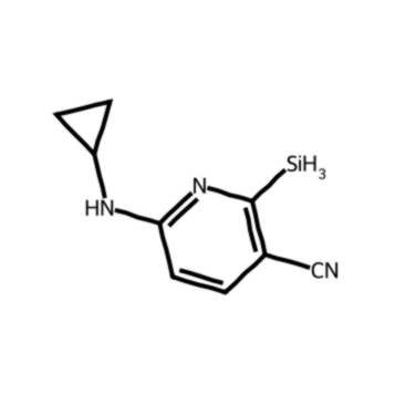 N#Cc1ccc(NC2CC2)nc1[SiH3]